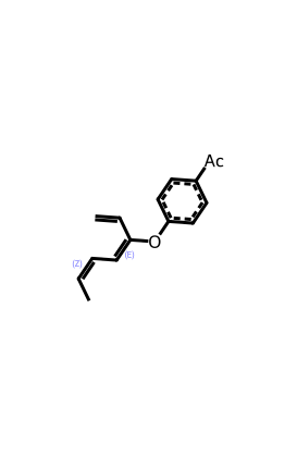 C=C/C(=C\C=C/C)Oc1ccc(C(C)=O)cc1